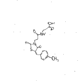 Cc1ccc(/C=C2/SC(=S)N(CCC(=O)NCC(=O)O)C2=O)cc1